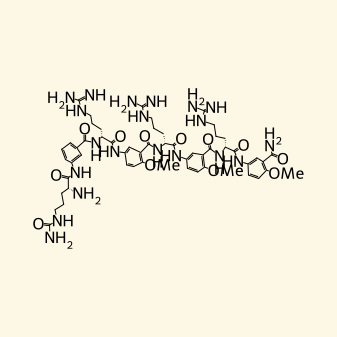 COc1ccc(NC(=O)[C@@H](CCCNC(=N)N)NC(=O)c2cc(NC(=O)[C@@H](CCCNC(=N)N)NC(=O)c3cc(NC(=O)[C@@H](CCCNC(=N)N)NC(=O)c4cccc(NC(=O)[C@H](N)CCCNC(N)=O)c4)ccc3OC)ccc2OC)cc1C(N)=O